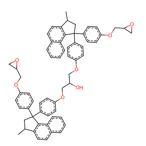 CC1CC(c2ccc(OCC(O)COc3ccc(C4(c5ccc(OCC6CO6)cc5)CC(C)c5ccc6ccccc6c54)cc3)cc2)(c2ccc(OCC3CO3)cc2)c2c1ccc1ccccc21